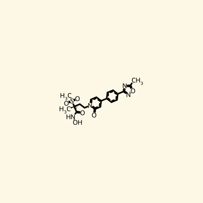 Cc1nc(-c2ccc(-c3ccn(CC[C@](C)(C(=O)NO)S(C)(=O)=O)c(=O)c3)cc2)no1